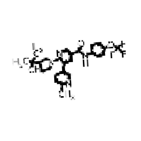 Cc1ccc(-c2cc(C(=O)Nc3ccc(OC(F)(F)F)cc3)cnc2N2CCC(C(C)(C)C)C2)cn1